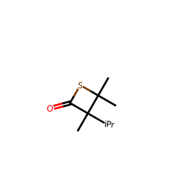 CC(C)C1(C)C(=O)SC1(C)C